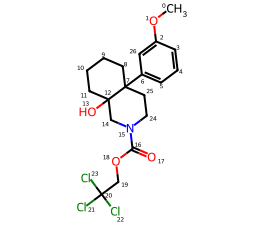 COc1cccc(C23CCCCC2(O)CN(C(=O)OCC(Cl)(Cl)Cl)CC3)c1